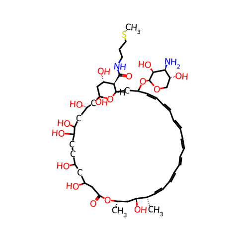 CSCCCNC(=O)[C@H]1[C@@H]2CC(O[C@@H]3OC[C@@H](O)[C@H](N)[C@@H]3O)/C=C/C=C/C=C/C=C/C=C/C=C/C=C/[C@H](C)[C@@H](O)C[C@H](C)OC(=O)CC(O)CC(O)CCC(O)C(O)C[C@H](O)CC(O)(C[C@@H]1O)O2